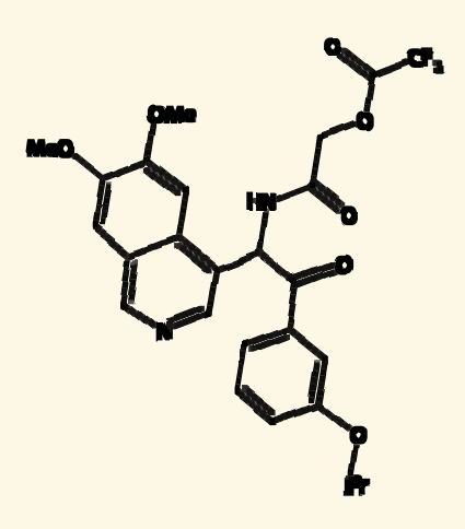 COc1cc2cncc(C(NC(=O)COC(=O)C(F)(F)F)C(=O)c3cccc(OC(C)C)c3)c2cc1OC